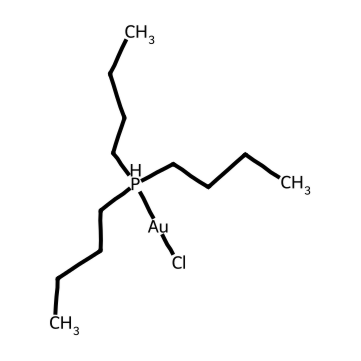 CCCC[PH](CCCC)(CCCC)[Au][Cl]